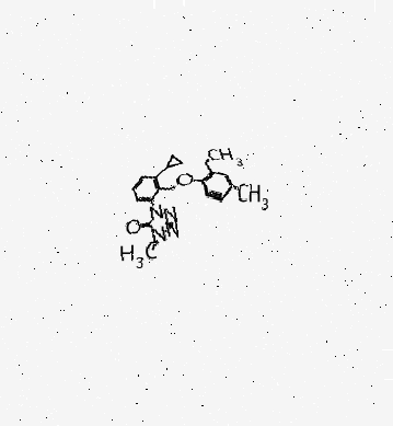 CCc1cc(C)ccc1OCc1c(C2CC2)cccc1-n1nnn(C)c1=O